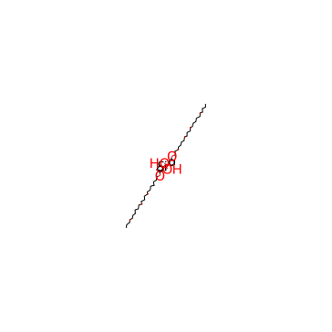 CCCCCCCCCCCCCCCCCCCCCCOc1cccc([Si](O)(O)c2cccc(OCCCCCCCCCCCCCCCCCCCCCC)c2)c1